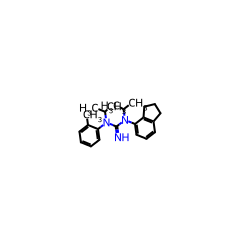 Cc1ccccc1N(C(=N)N(c1cccc2c1CCC2)C(C)C)C(C)C